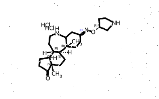 C[C@]12CC/C(=N\O[C@@H]3CCNC3)CC1NCC[C@@H]1[C@@H]2CC[C@]2(C)C(=O)CC[C@@H]12.Cl.Cl